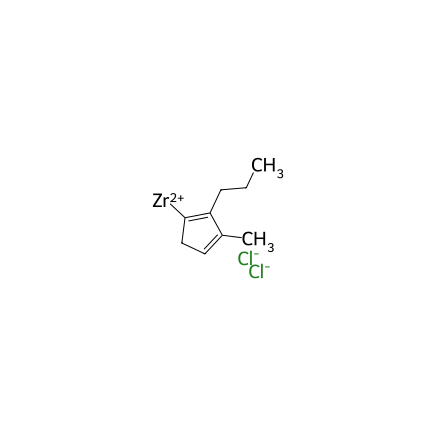 CCCC1=[C]([Zr+2])CC=C1C.[Cl-].[Cl-]